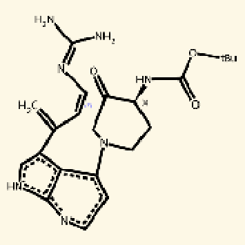 C=C(/C=C\N=C(N)N)c1c[nH]c2nccc(N3CC[C@H](NC(=O)OC(C)(C)C)C(=O)C3)c12